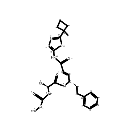 CC[C@H](NC(=O)OC(C)(C)C)C(=O)N[C@H](/C=C/C(=O)Nc1nnc(C2(C)CCC2)s1)CCc1ccccc1